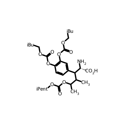 CCCC(C)OC(=O)OC(C)C(C)C(c1ccc(OC(=O)OCC(C)CC)c(OC(=O)OCC(C)CC)c1)[C@H](N)C(=O)O